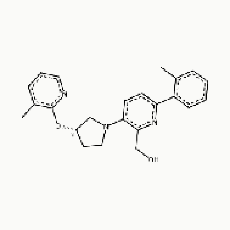 Cc1ccccc1-c1ccc(N2CC[C@H](Oc3ncccc3C)C2)c(CO)n1